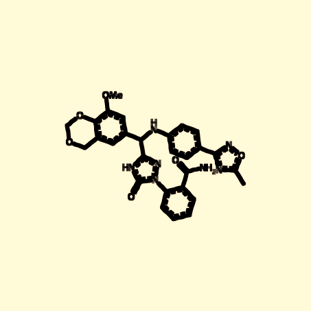 COc1cc(C(Nc2ccc(-c3noc(C)n3)cc2)c2nn(-c3ccccc3C(N)=O)c(=O)[nH]2)cc2c1OCOC2